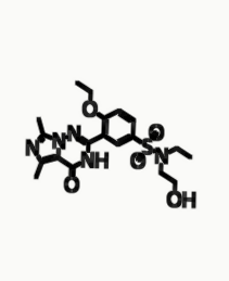 CCOc1ccc(S(=O)(=O)N(CC)CCO)cc1-c1nn2c(C)nc(C)c2c(=O)[nH]1